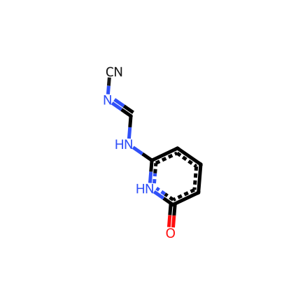 N#CN=CNc1cccc(=O)[nH]1